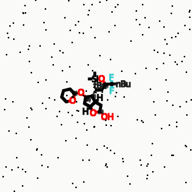 CCCCC(F)(F)[C@@H](CC[C@@H]1[C@H]2C[C@H](O)O[C@H]2C[C@H]1O[C@H]1CCCCO1)O[Si](C)(C)C(C)(C)C